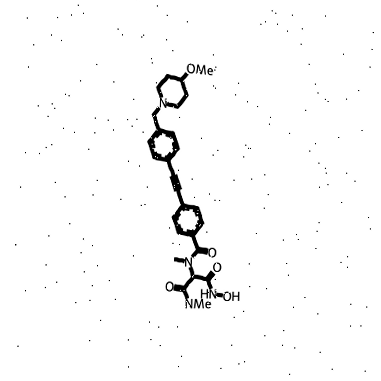 CNC(=O)C(C(=O)NO)N(C)C(=O)c1ccc(C#Cc2ccc(CN3CCC(OC)CC3)cc2)cc1